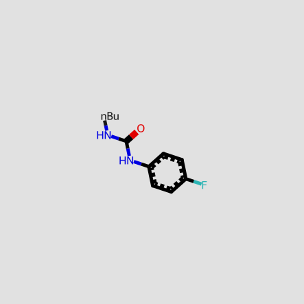 [CH2]CCCNC(=O)Nc1ccc(F)cc1